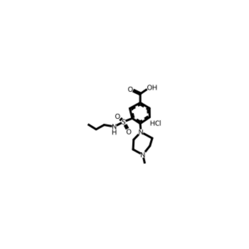 CCCNS(=O)(=O)c1cc(C(=O)O)ccc1N1CCN(C)CC1.Cl